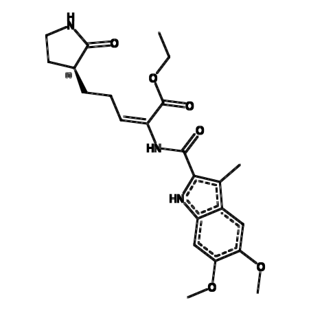 CCOC(=O)C(=CCC[C@H]1CCNC1=O)NC(=O)c1[nH]c2cc(OC)c(OC)cc2c1C